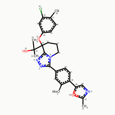 COc1cc(-c2nnc3n2CCCC3(Oc2ccc(C#N)c(Cl)c2)C(C)(C)O)ccc1-c1cnc(C)o1